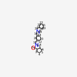 O=C1c2ccccc2CN1Cc1cccc(CN2Cc3ccccc3C2)c1